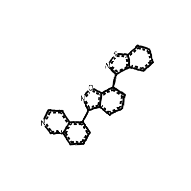 c1cc(-c2noc3c(-c4nsc5ccccc45)cccc23)c2ccncc2c1